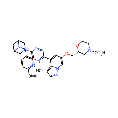 COc1ccc(CN2C3CC2CN(c2cnc(-c4cc(OC[C@H]5CN(C(=O)O)CCO5)cn5ncc(C#N)c45)cn2)C3)cn1